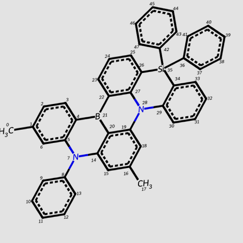 Cc1ccc2c(c1)N(c1ccccc1)c1cc(C)cc3c1B2c1cccc2c1N3c1ccccc1[Si]2(c1ccccc1)c1ccccc1